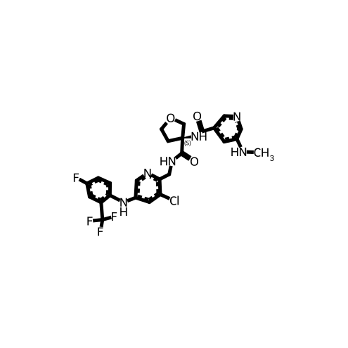 CNc1cncc(C(=O)N[C@@]2(C(=O)NCc3ncc(Nc4ccc(F)cc4C(F)(F)F)cc3Cl)CCOC2)c1